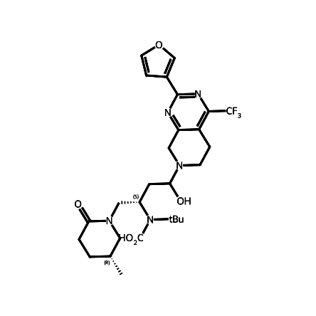 C[C@@H]1CCC(=O)N(C[C@H](CC(O)N2CCc3c(nc(-c4ccoc4)nc3C(F)(F)F)C2)N(C(=O)O)C(C)(C)C)C1